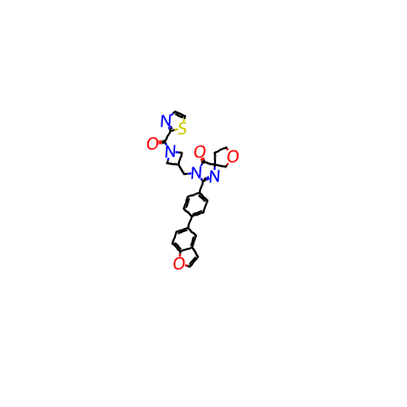 O=C(c1nccs1)N1CC(CN2C(=O)C3(CCOC3)N=C2c2ccc(-c3ccc4occc4c3)cc2)C1